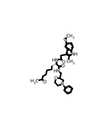 COc1ccc2[nH]c(C)c(CC(=O)N[C@@H](CCCCCC(C)=O)C(=O)NCC3CN(c4ccccc4)CCO3)c2c1